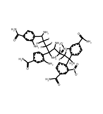 NC(=O)c1ccc(C(N)C(F)(F)C(F)(F)C(N)(c2ccc(C(N)=O)cc2N)C(N)C(F)(F)C(F)(F)C(N)(c2ccc(C(N)=O)cc2[N+](=O)[O-])c2ccc(C(N)=O)cc2[N+](=O)[O-])c(N)c1